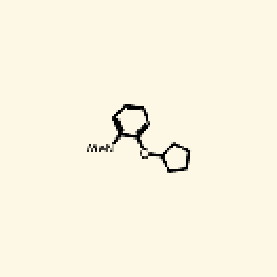 CNc1ccccc1OC1CCCC1